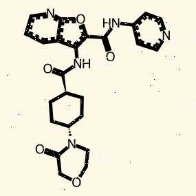 O=C(Nc1ccncc1)c1oc2ncccc2c1NC(=O)[C@H]1CC[C@H](N2CCOCC2=O)CC1